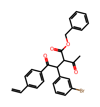 C=Cc1ccc(C(=O)C(c2cccc(Br)c2)C(C(C)=O)C(=O)OCc2ccccc2)cc1